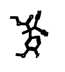 CCOC(=O)C(C)(c1ccc(F)c(OC)c1)C(C#N)C#N